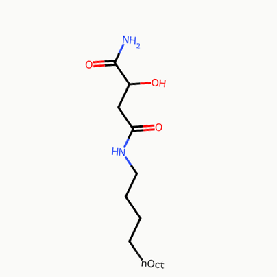 CCCCCCCCCCCCNC(=O)CC(O)C(N)=O